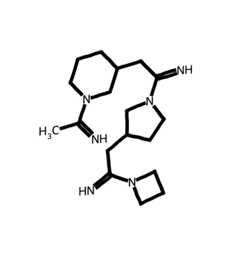 CC(=N)N1CCCC(CC(=N)N2CCC(CC(=N)N3CCC3)C2)C1